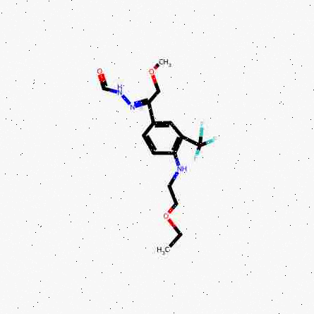 CCOCCNc1ccc(/C(COC)=N/NC=O)cc1C(F)(F)F